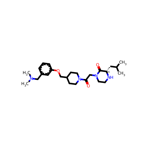 CC(C)C[C@@H]1NCCN(CC(=O)N2CCC(COc3cccc(CN(C)C)c3)CC2)C1=O